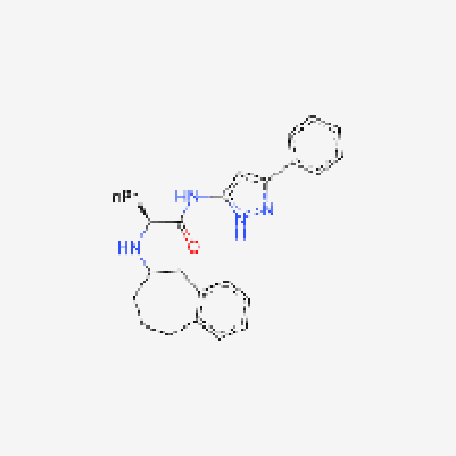 CCC[C@H](NC1CCCc2ccccc2C1)C(=O)Nc1cc(-c2ccccc2)n[nH]1